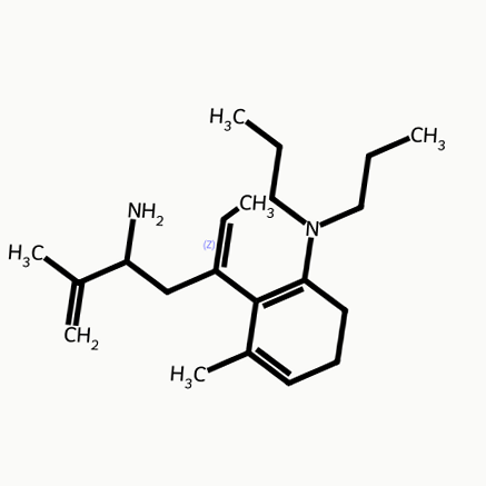 C=C(C)C(N)C/C(=C/C)C1=C(N(CCC)CCC)CCC=C1C